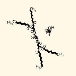 CCCCCCCCC(=O)OCC(COC(=O)CCCCCCCC)CC(=O)OC[C@H]1C[C@H](COC(=O)CC(COC(=O)CCCCCCCC)COC(=O)CCCCCCCC)N1.O=C(O)C(F)(F)F